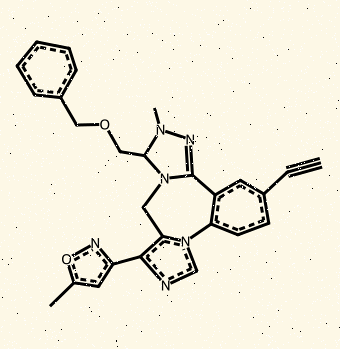 C#Cc1ccc2c(c1)C1=NN(C)C(COCc3ccccc3)N1Cc1c(-c3cc(C)on3)ncn1-2